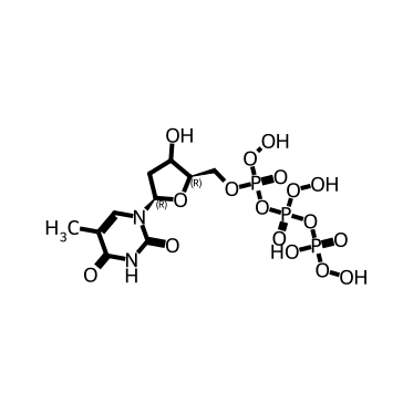 Cc1cn([C@H]2CC(O)[C@@H](COP(=O)(OO)OP(=O)(OO)OP(=O)(O)OO)O2)c(=O)[nH]c1=O